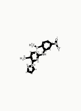 COc1ccc([N+](=O)[O-])cc1Nc1ncc(C)c(-n2cccn2)n1